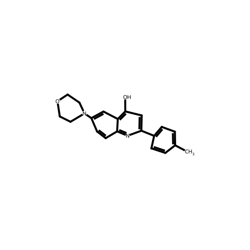 Cc1ccc(-c2cc(O)c3cc(N4CCOCC4)ccc3n2)cc1